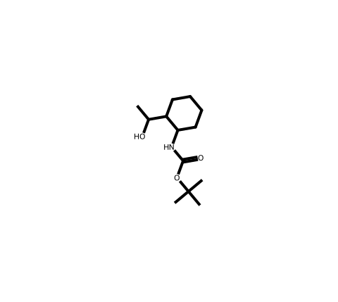 CC(O)C1CCCCC1NC(=O)OC(C)(C)C